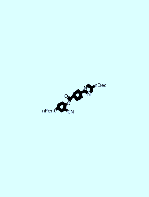 CCCCCCCCCCc1cnc(-c2ccc(C(=O)Oc3ccc(CCCCC)cc3C#N)cc2)nc1